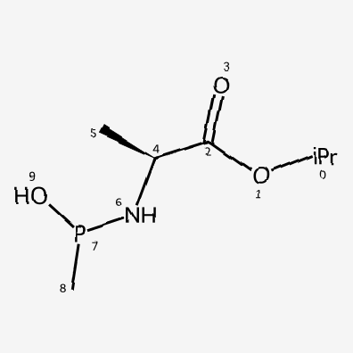 CC(C)OC(=O)[C@H](C)NP(C)O